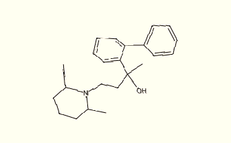 CC1CCCC(C)N1CCC(C)(O)c1ccccc1-c1ccccc1